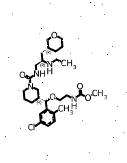 CCN[C@@H](CNC(=O)N1CCC[C@@H](C(OCCNC(=O)OC)c2cc(Cl)ccc2C)C1)C[C@H]1CCCOC1